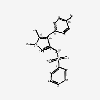 CCn1nc(NS(=O)(=O)c2ccccc2)c(-c2ccc(C)cc2)c1C